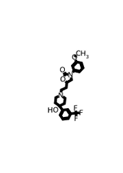 COc1cccc(N2CC(CCN3CCC(O)(c4cccc(C(F)(F)F)c4)CC3)OC2=O)c1